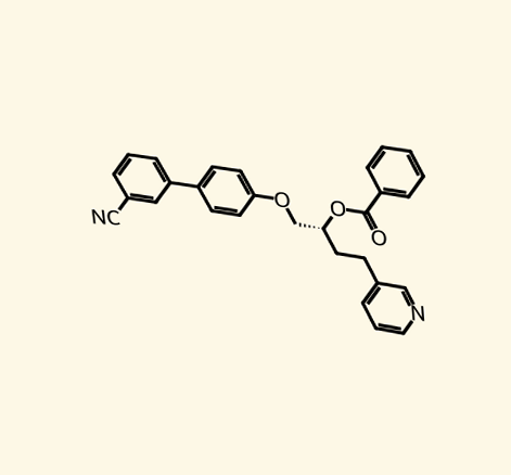 N#Cc1cccc(-c2ccc(OC[C@@H](CCc3cccnc3)OC(=O)c3ccccc3)cc2)c1